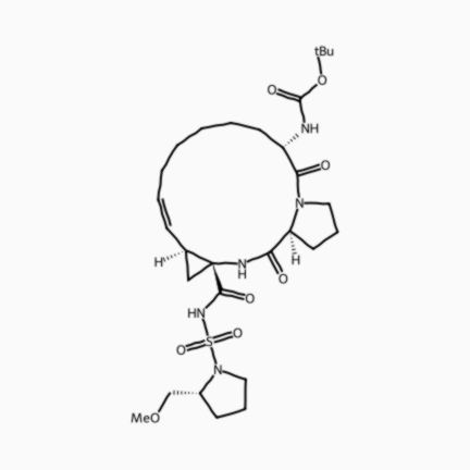 COC[C@H]1CCCN1S(=O)(=O)NC(=O)[C@@]12C[C@H]1/C=C\CCCCC[C@H](NC(=O)OC(C)(C)C)C(=O)N1CCC[C@H]1C(=O)N2